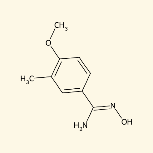 COc1ccc(C(N)=NO)cc1C